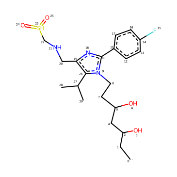 [CH2]CC(O)CC(O)CCn1c(-c2ccc(F)cc2)nc(CNC[SH](=O)=O)c1C(C)C